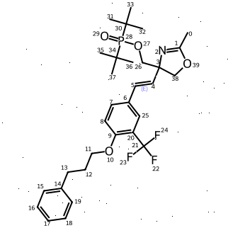 CC1=NC(/C=C/c2ccc(OCCCc3ccccc3)c(C(F)(F)F)c2)(COP(=O)(C(C)(C)C)C(C)(C)C)CO1